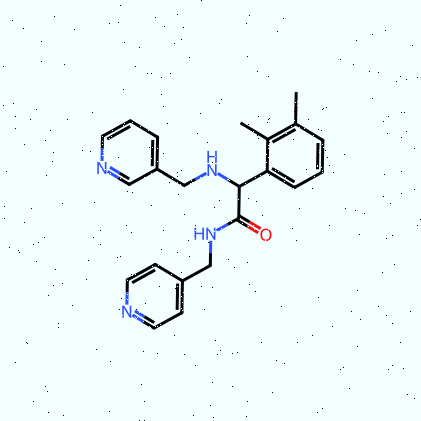 Cc1cccc(C(NCc2cccnc2)C(=O)NCc2ccncc2)c1C